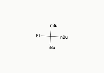 CCCCC(CC)(CCCC)C(C)CC